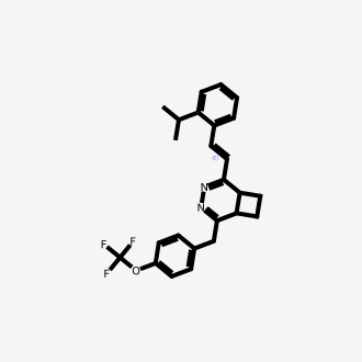 CC(C)c1ccccc1/C=C/C1=NN=C(Cc2ccc(OC(F)(F)F)cc2)C2CCC12